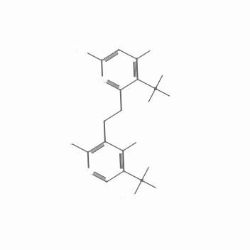 Cc1cc(Cl)c(C(C)(C)C)c(CCc2c(Cl)ncc(C(C)(C)C)c2C)n1